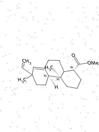 C=CC1(C)C=C2CCC3[C@H](C(=O)OC)CCC[C@@]3(C)[C@H]2CC1